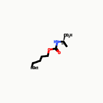 CCCCCCCCCCCCOC(=O)N[C@@H](C)C(=O)O